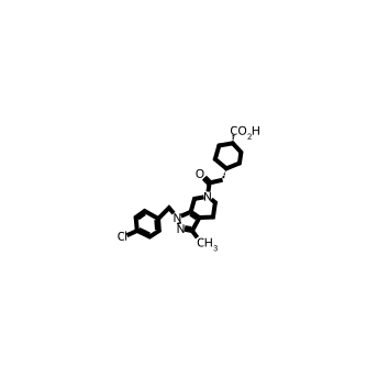 Cc1nn(Cc2ccc(Cl)cc2)c2c1CCN(C(=O)C[C@H]1CC[C@@H](C(=O)O)CC1)C2